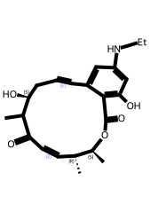 CCNc1cc(O)c2c(c1)/C=C/C[C@H](O)C(C)C(=O)/C=C\[C@@H](C)[C@H](C)OC2=O